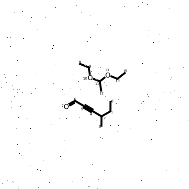 CCC(C)C#CC=O.CCOC(C)OCC